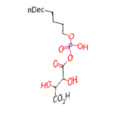 CCCCCCCCCCCCCCOP(=O)(O)OC(=O)C(O)C(O)C(=O)O